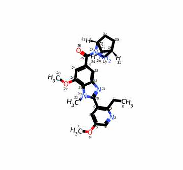 CCc1ncc(OC)cc1-c1nc2cc(C(=O)N3C[C@H]4CC[C@@H]3[C@@H]4N)cc(OC)c2n1C